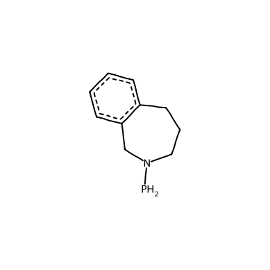 PN1CCCc2ccccc2C1